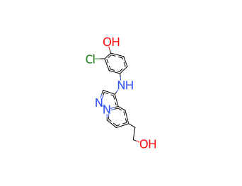 OCCc1ccn2ncc(Nc3ccc(O)c(Cl)c3)c2c1